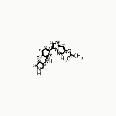 CC(C)Oc1cnn2c(-c3cccc(N[C@H]4CNC[C@@H]4F)n3)cnc2c1